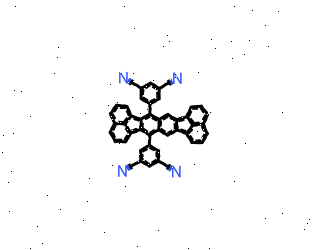 N#Cc1cc(C#N)cc(-c2c3cc4c(cc3c(-c3cc(C#N)cc(C#N)c3)c3c5cccc6cccc(c23)c65)c2cccc3cccc4c32)c1